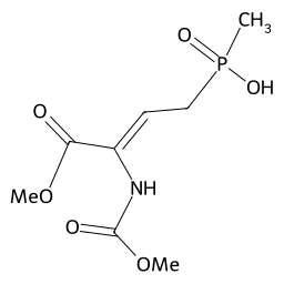 COC(=O)N/C(=C\CP(C)(=O)O)C(=O)OC